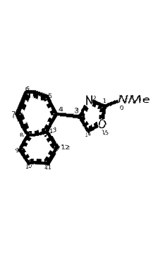 CNc1nc(-c2cccc3ccccc23)co1